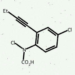 CCC#Cc1cc(Cl)ccc1N(Cl)C(=O)O